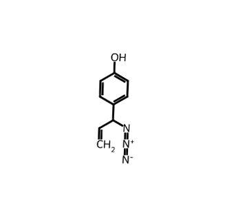 C=CC(N=[N+]=[N-])c1ccc(O)cc1